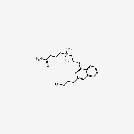 CCCCc1cc2ccccc2c(OCC[N+](C)(C)CCCC(N)=O)n1